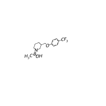 CB(O)N1CCCC(COc2ccc(C(F)(F)F)cc2)C1